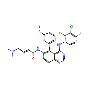 COc1cccc(-c2c(NC(=O)/C=C/CN(C)C)ccc3ncnc(Nc4ccc(F)c(Cl)c4F)c23)c1